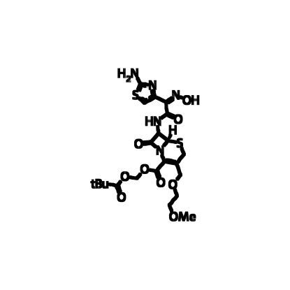 COCCOCC1=C(C(=O)OCOC(=O)C(C)(C)C)N2C(=O)C(NC(=O)/C(=N\O)c3csc(N)n3)[C@@H]2SC1